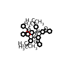 CC(C)(C)c1ccc(N2B3c4cc5sc(-c6ccccc6)c(-c6ccccc6)c5cc4N(c4ccc(C(C)(C)C)cc4-c4ccccc4)c4c3c(cc3c4oc4ccccc43)-c3cc4c(cc32)oc2ccccc24)cc1